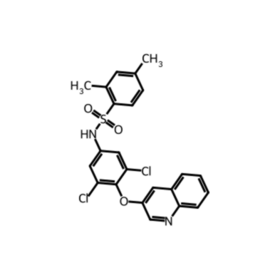 Cc1ccc(S(=O)(=O)Nc2cc(Cl)c(Oc3cnc4ccccc4c3)c(Cl)c2)c(C)c1